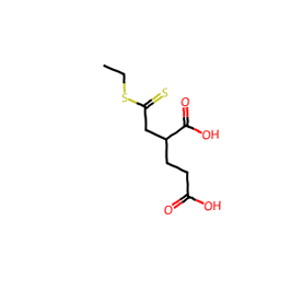 CCSC(=S)CC(CCC(=O)O)C(=O)O